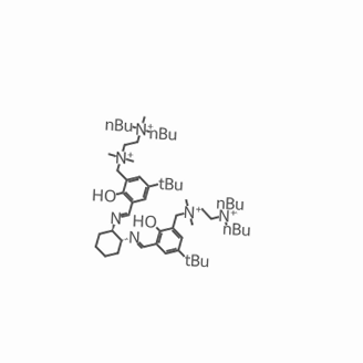 CCCC[N+](C)(CCCC)CC[N+](C)(C)Cc1cc(C(C)(C)C)cc(/C=N/[C@@H]2CCCC[C@H]2/N=C/c2cc(C(C)(C)C)cc(C[N+](C)(C)CC[N+](C)(CCCC)CCCC)c2O)c1O